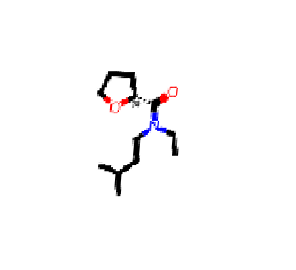 CCN(CCC(C)C)C(=O)[C@H]1CCCO1